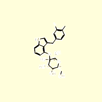 Cc1ccc(Cc2c[nH]c3cccc(O[C@]4(O)[C@H](O)O[C@H](CO)[C@@H](O)[C@@H]4O)c23)cc1F